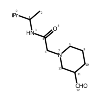 CC(C)C(C)NC(=O)CN1CCCC(C=O)C1